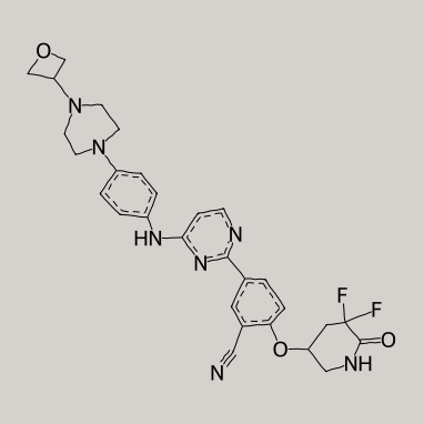 N#Cc1cc(-c2nccc(Nc3ccc(N4CCN(C5COC5)CC4)cc3)n2)ccc1OC1CNC(=O)C(F)(F)C1